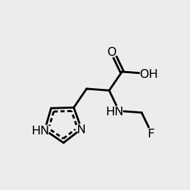 O=C(O)C(Cc1c[nH]cn1)NCF